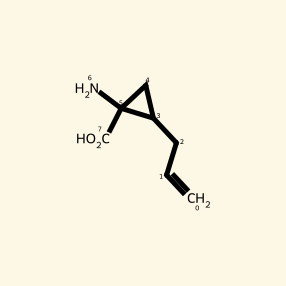 C=CCC1CC1(N)C(=O)O